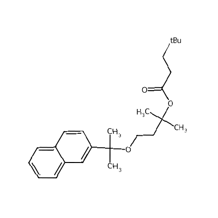 CC(C)(C)CCC(=O)OC(C)(C)CCOC(C)(C)c1ccc2ccccc2c1